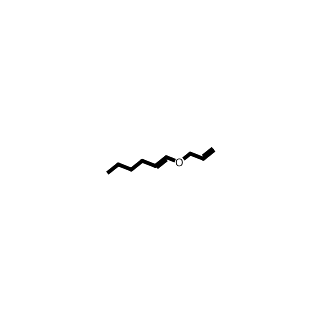 C=CCOC=CCCCC